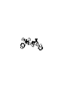 CC(C)(C(=O)Nc1cc(C2(COC3CCCCO3)CC2)no1)[S+]([O-])C1CCOCC1